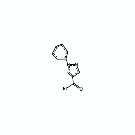 CCC(=O)c1cnn(-c2ccccc2)c1